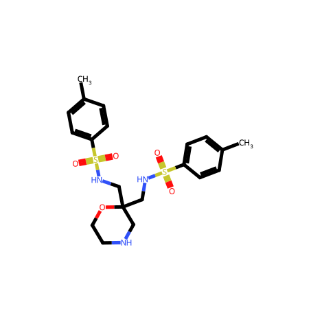 Cc1ccc(S(=O)(=O)NCC2(CNS(=O)(=O)c3ccc(C)cc3)CNCCO2)cc1